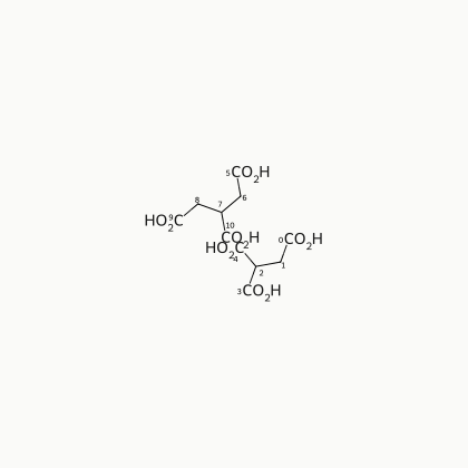 O=C(O)CC(C(=O)O)C(=O)O.O=C(O)CC(CC(=O)O)C(=O)O